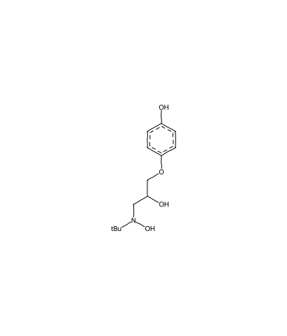 CC(C)(C)N(O)CC(O)COc1ccc(O)cc1